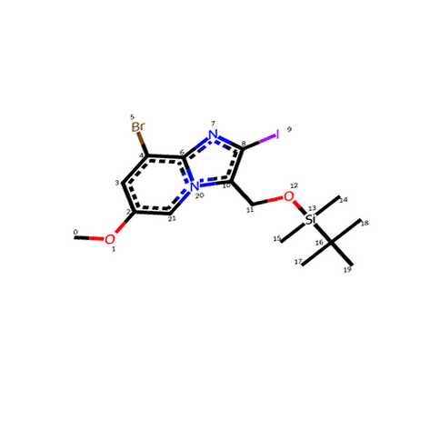 COc1cc(Br)c2nc(I)c(CO[Si](C)(C)C(C)(C)C)n2c1